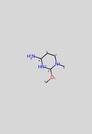 COC1NC(N)CCN1C